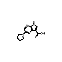 O=C(O)c1c[nH]c2ncc(N3CCCC3)nc12